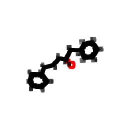 O=C(CCCc1ccccc1)Cc1ccccc1